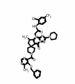 Cc1ncnc(C(=O)N2CCC3(CC2)CC(C)c2c3c(=O)n3nc(N4CCCCC4)nc3n2CC(=O)Nc2ccc(C(F)(F)F)cc2Cl)c1OCc1ccccc1